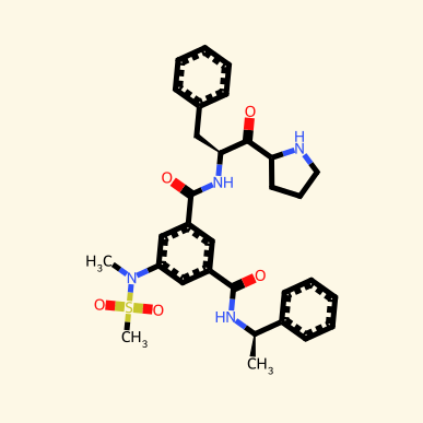 C[C@@H](NC(=O)c1cc(C(=O)N[C@@H](Cc2ccccc2)C(=O)C2CCCN2)cc(N(C)S(C)(=O)=O)c1)c1ccccc1